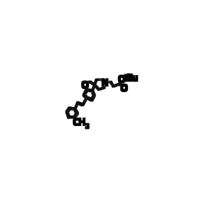 Cc1cccc(C=Cc2ccc3c(c2)OCC32CCN(CCC(=O)OC(C)(C)C)CC2)c1